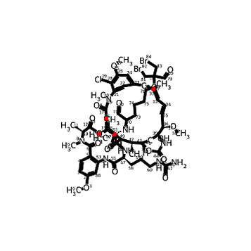 COc1ccc(C(=O)N(C)[C@@H](C)C(=O)O[C@H]2CC(=O)N(C)c3cc(cc(OC)c3Cl)C/C(C)=C/C=C/[C@@H](OC)[C@@]3(O)C[C@H](OC(=O)N3)[C@@H](C)[C@@H]3O[C@@]23C)c(NC(=O)[C@H](CCCNC(N)=O)NC(=O)[C@@H](NC(C=O)CCCCOC(C=O)(CBr)CBr)C(C)C)c1